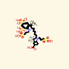 CC1(C)C(/C=C/C=C/C=C2/N(CCCS(=O)(=O)O)c3ccc(C(=O)O)cc3C2(C)C)=[N+](CCCS(=O)(=O)O)c2c1cc(S(=O)(=O)O)cc2S(=O)(=O)O